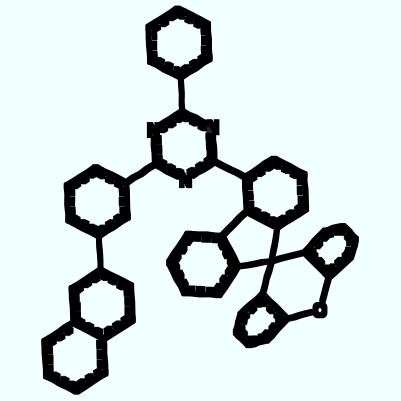 c1ccc(-c2nc(-c3cccc(-c4ccc5ccccc5c4)c3)nc(-c3cccc4c3-c3ccccc3C43c4ccccc4Oc4ccccc43)n2)cc1